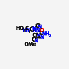 COc1ccc(C(F)(F)F)c(-c2cnc(N)c(C(=O)Nc3ncccc3N3CCC(C)(NC(=O)O)CC3)n2)n1